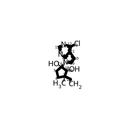 C=C[C@@]1(C)CC[C@@](O)(n2ccc3c(Cl)ncnc32)[C@@H]1O